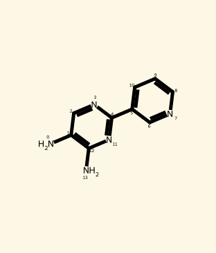 Nc1cnc(-c2[c]nccc2)nc1N